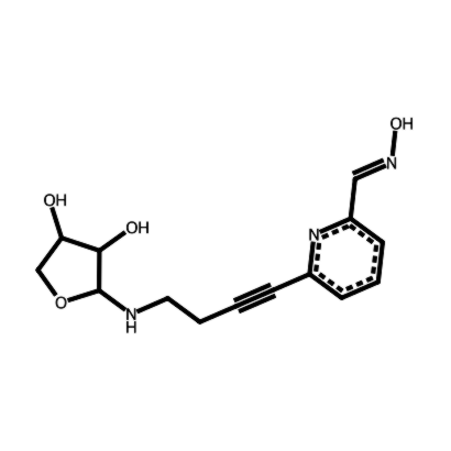 ON=Cc1cccc(C#CCCNC2OCC(O)C2O)n1